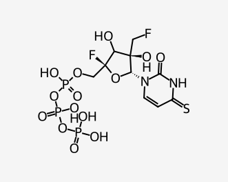 O=c1[nH]c(=S)ccn1[C@@H]1O[C@](F)(COP(=O)(O)OP(=O)(O)OP(=O)(O)O)C(O)[C@]1(O)CF